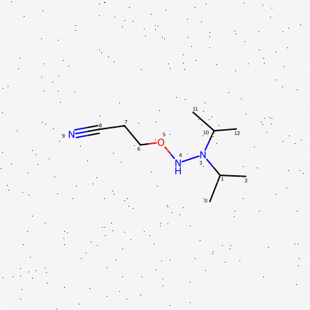 CC(C)N(NOCCC#N)C(C)C